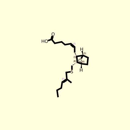 CCC/C=C(\C)CSC[C@@H]1[C@H](C/C=C\CCCC(=O)O)[C@@H]2CC[C@H]1O2